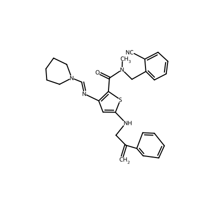 C=C(CNc1cc(/N=C/N2CCCCC2)c(C(=O)N(C)Cc2ccccc2C#N)s1)c1ccccc1